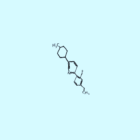 CCc1ccc(-c2ccc(C3CCC(C)CC3)cn2)c(F)c1